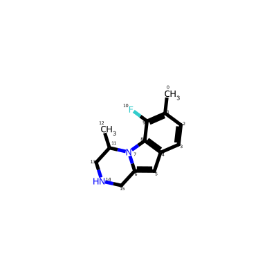 Cc1ccc2cc3n(c2c1F)C(C)CNC3